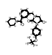 O=C(c1cc(CN2CC(=O)N(c3ccc(OC(F)(F)F)cc3)C2=O)ccn1)N1CCCCC1